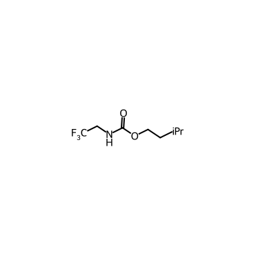 CC(C)CCOC(=O)NCC(F)(F)F